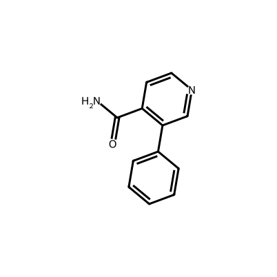 NC(=O)c1ccncc1-c1ccccc1